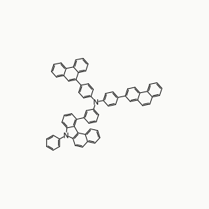 c1ccc(-n2c3cccc(-c4cccc(N(c5ccc(-c6ccc7c(ccc8ccccc87)c6)cc5)c5ccc(-c6cc7ccccc7c7ccccc67)cc5)c4)c3c3c4ccccc4ccc32)cc1